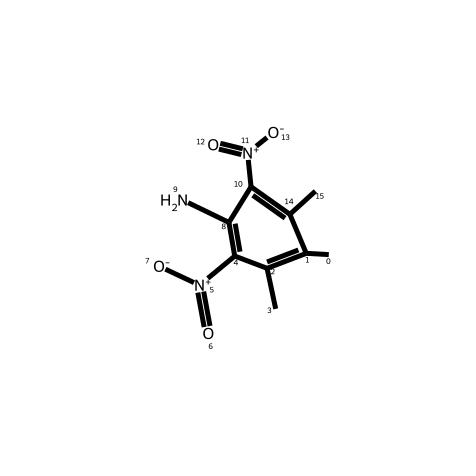 Cc1c(C)c([N+](=O)[O-])c(N)c([N+](=O)[O-])c1C